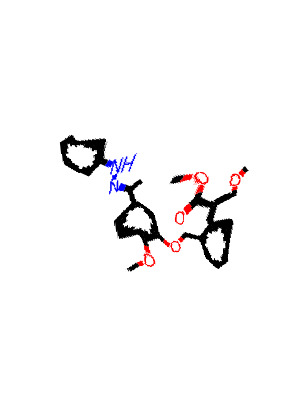 COC=C(C(=O)OC)c1ccccc1COc1cc(C(C)=NNc2ccccc2)ccc1OC